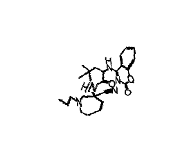 CCCN1CCCCC(C#N)(NC(=O)C(CC(C)(C)C)Nc2nc(=O)oc3ccccc23)C1